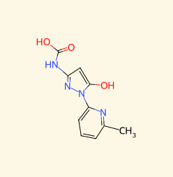 Cc1cccc(-n2nc(NC(=O)O)cc2O)n1